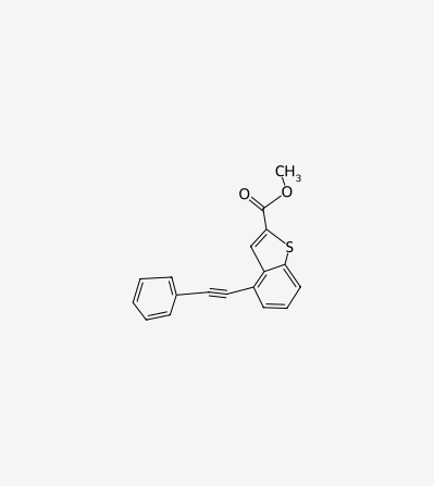 COC(=O)c1cc2c(C#Cc3ccccc3)cccc2s1